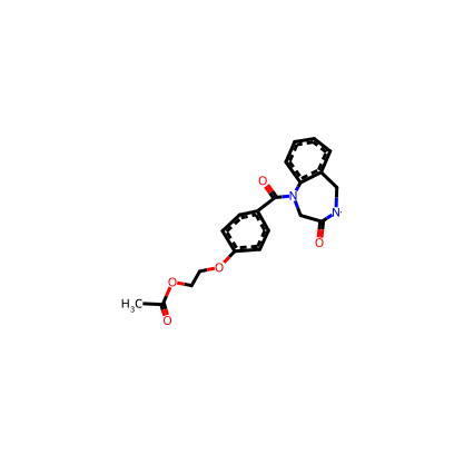 CC(=O)OCCOc1ccc(C(=O)N2CC(=O)[N]Cc3ccccc32)cc1